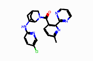 Cc1ccc(C(=O)N2CC3CCC2C(Nc2ccc(Cl)cn2)C3)c(-c2ncccn2)n1